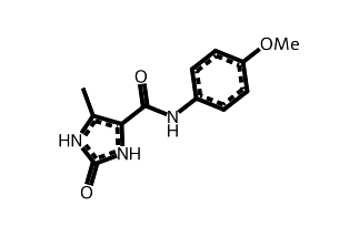 COc1ccc(NC(=O)c2[nH]c(=O)[nH]c2C)cc1